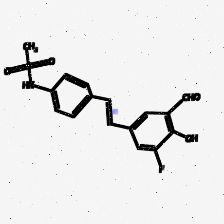 CS(=O)(=O)Nc1ccc(/C=C/c2cc(F)c(O)c(C=O)c2)cc1